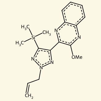 C=CCn1nc(-c2nc3ccccc3nc2OC)c([Si](C)(C)C)n1